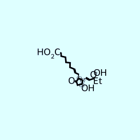 CCC(C=C[C@H]1[C@H](CC=CCCCCCCC(=O)O)C(=O)C[C@@H]1O)OO